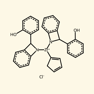 Oc1ccccc1C1c2ccccc2[N]1[Zr+]([C]1=CC=CC1)[N]1c2ccccc2C1c1ccccc1O.[Cl-]